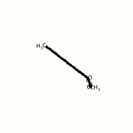 CC#CC#CC#CC#CC#CC#CC#CC#CC#CC#CC#CC#CC#CC#CC(=O)OCCOC(C)=O